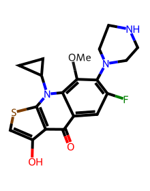 COc1c(N2CCNCC2)c(F)cc2c(=O)c3c(O)csc3n(C3CC3)c12